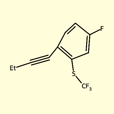 CCC#Cc1ccc(F)cc1SC(F)(F)F